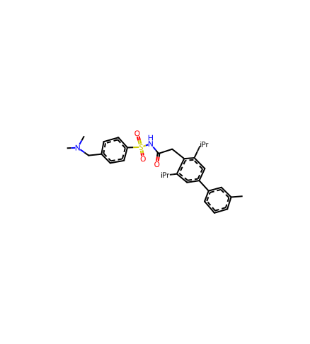 Cc1cccc(-c2cc(C(C)C)c(CC(=O)NS(=O)(=O)c3ccc(CN(C)C)cc3)c(C(C)C)c2)c1